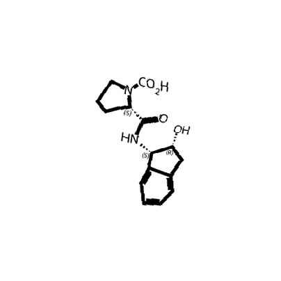 O=C(N[C@H]1c2ccccc2C[C@H]1O)[C@@H]1CCCN1C(=O)O